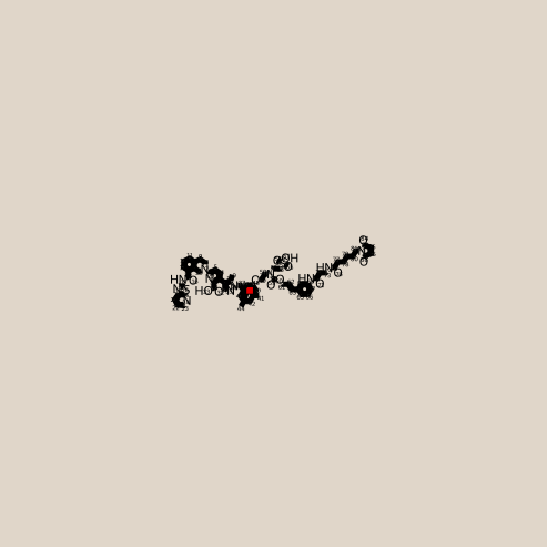 Cc1c(-c2ccc(N3CCc4cccc(C(=O)Nc5nc6cccnc6s5)c4C3)nc2C(=O)O)cnn1CC12CC3(C)CC(C)(C1)CC(OCCN(CCS(=O)(=O)O)C(=O)OC/C=C/c1cc[c]c(NC(=O)CCNC(=O)CCCCCN4C(=O)C=CC4=O)c1)(C3)C2